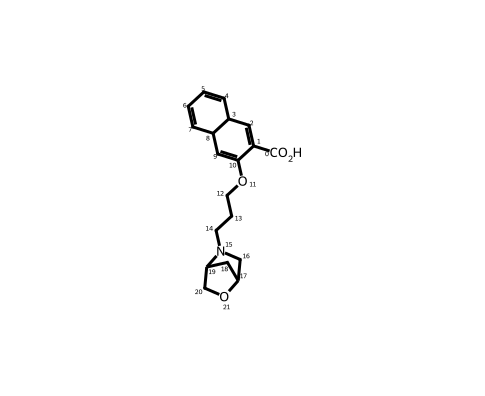 O=C(O)C1=CC2C=CC=CC2C=C1OCCCN1CC2CC1CO2